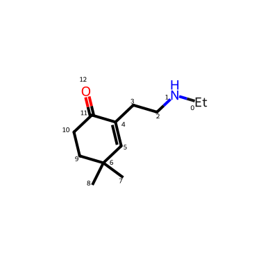 CCNCCC1=CC(C)(C)CCC1=O